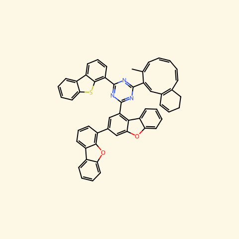 Cc1cccccc2c(cc1-c1nc(-c3cccc4c3sc3ccccc34)nc(-c3cc(-c4cccc5c4oc4ccccc45)cc4oc5ccccc5c34)n1)C=CCC2